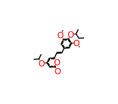 CCC(C)Oc1c(OC)cc(C=Cc2cc(OC(C)C)cc(=O)o2)cc1OC